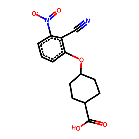 N#Cc1c(OC2CCC(C(=O)O)CC2)cccc1[N+](=O)[O-]